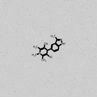 [C-]#[N+]C1=C(C)N(C)C(C)=C(C#N)C1c1ccc2[nH]nc(C)c2c1